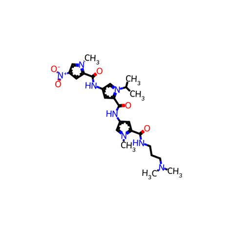 CC(C)n1cc(NC(=O)c2cc([N+](=O)[O-])cn2C)cc1C(=O)Nc1cc(C(=O)NCCCN(C)C)n(C)c1